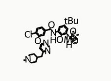 COc1c(NC(=O)c2ccc(Cl)c(Oc3cc(CC4CCN(C)CC4)ncn3)c2)cc(C(C)(C)C)cc1NS(C)(=O)=O